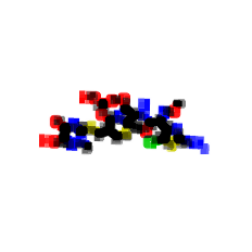 CON=C(C(=O)NC1C(=O)N2C(OC(=O)O)=C(CSc3nc(=O)c(O)nn3C)CS[C@@H]12)c1nc(N)sc1Cl